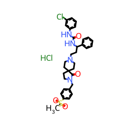 CS(=O)(=O)c1ccc(CN2CCC3(CCN(CCC(NC(=O)Nc4cccc(Cl)c4)c4ccccc4)CC3)C2=O)cc1.Cl